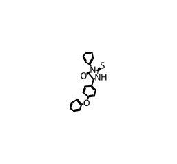 O=C1C(c2ccc(Oc3ccccc3)cc2)NC(=S)N1c1ccccc1